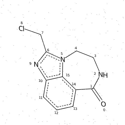 O=C1NCCn2c(CCl)nc3cccc1c32